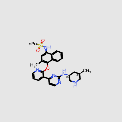 CCCS(=O)(=O)Nc1cc(C)c(Oc2ncccc2-c2ccnc(N[C@@H]3CNC[C@H](C)C3)n2)c2ccccc12